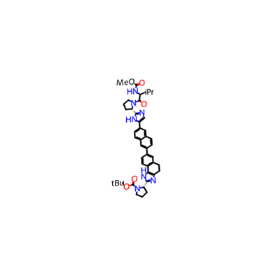 COC(=O)NC(C(=O)N1CCC[C@H]1c1ncc(-c2ccc3cc(-c4ccc5c(c4)CCc4nc([C@@H]6CCCN6C(=O)OC(C)(C)C)[nH]c4-5)ccc3c2)[nH]1)C(C)C